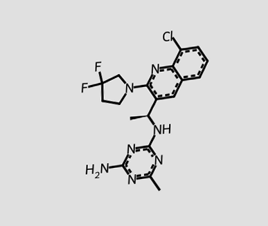 Cc1nc(N)nc(N[C@@H](C)c2cc3cccc(Cl)c3nc2N2CCC(F)(F)C2)n1